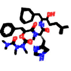 CC(C)CCC(O)C(CC1CCCCC1)NC(=O)[C@H](Cc1c[nH]cn1)N(C)C(=O)C(Cc1ccccc1)OC(=O)N(C)N(C)C(=O)N(C)C